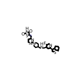 O=C1NC(=O)/C(=C/c2ccnc(N3CCC(CNCc4cc(-c5csc6ccccc56)ncc4F)CC3)n2)S1